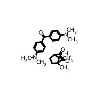 CC12CCC(C(=O)C1=O)C2(C)C.CN(C)c1ccc(C(=O)c2ccc(N(C)C)cc2)cc1